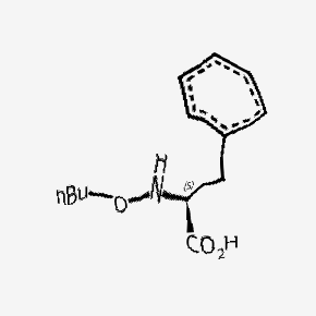 CCCCON[C@@H](Cc1ccccc1)C(=O)O